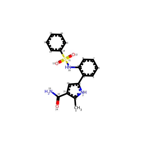 Cc1[nH]c(-c2ccccc2NS(=O)(=O)c2ccccc2)cc1C(N)=O